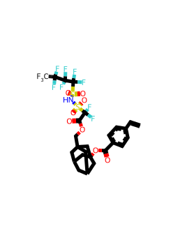 C=Cc1ccc(C(=O)OC23CC4CC(CC(COC(=O)C(F)(F)S(=O)(=O)NS(=O)(=O)C(F)(F)C(F)(F)C(F)(F)C(F)(F)F)(C4)C2)C3)cc1